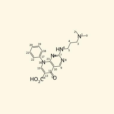 CN(C)CCCNc1ncc2c(=O)c(C(=O)O)cn(-c3ccccc3)c2n1